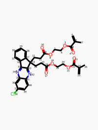 C=C(C)C(=O)OCCOC(=O)CCC1(CCC(=O)OCCOC(=O)C(=C)C)c2ccccc2-c2nc3cc(Cl)ccc3nc21